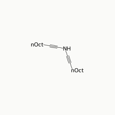 CCCCCCCCC#CNC#CCCCCCCCC